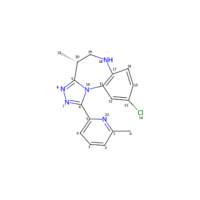 Cc1cccc(-c2nnc3n2-c2cc(Cl)ccc2NC[C@H]3C)n1